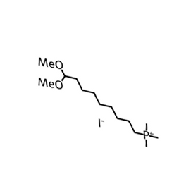 COC(CCCCCCCC[P+](C)(C)C)OC.[I-]